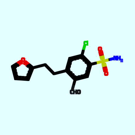 NS(=O)(=O)c1cc(C=O)c(CCc2ccco2)cc1Cl